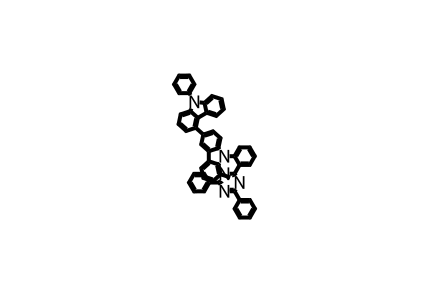 Cc1cccc2c3cc(-c4cccc5c4c4ccccc4n5-c4ccccc4)ccc3n(-c3ccccc3-c3nc(-c4ccccc4)nc(-c4ccccc4)n3)c12